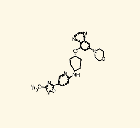 Cc1noc(-c2ccc(N[C@H]3CC[C@@H](Oc4cc(N5CCOCC5)cc5nccnc45)CC3)nc2)n1